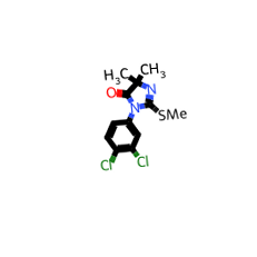 CSC1=NC(C)(C)C(=O)N1c1ccc(Cl)c(Cl)c1